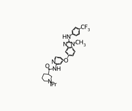 CC(C)N1CCCC(C(=O)Nc2cc(Oc3ccc4c(c3)nc(Nc3ccc(C(F)(F)F)cc3)n4C)ccn2)C1